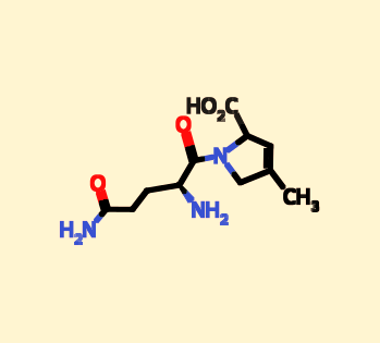 CC1=CC(C(=O)O)N(C(=O)[C@@H](N)CCC(N)=O)C1